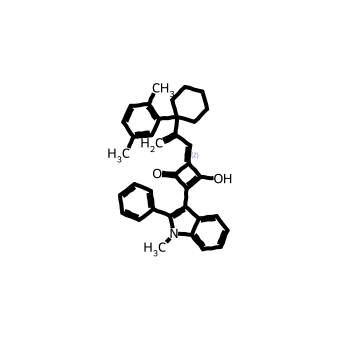 C=C(/C=C1\C(=O)C(c2c(-c3ccccc3)n(C)c3ccccc23)=C1O)C1(c2cc(C)ccc2C)CCCCC1